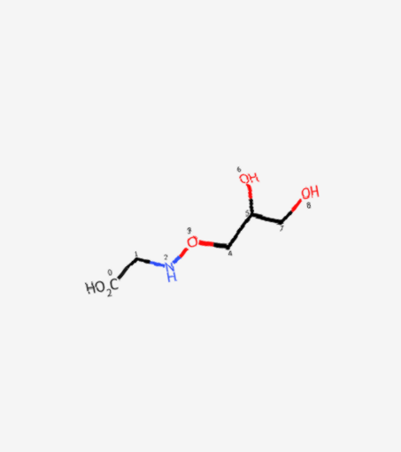 O=C(O)CNOCC(O)CO